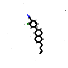 C=CCCC1CCC2=C(CCC(c3ccc(C#N)c(F)c3)C2)C1